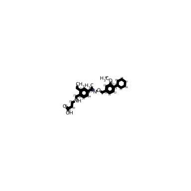 CCc1cc(/C(C)=N/OCc2ccc(C3CCCCC3)c(OC)c2)ccc1CNCCC(=O)O